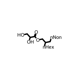 CCCCCCCCCCC(CCCCCC)COC(=O)C(O)CO